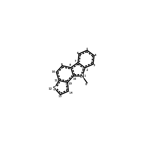 Cn1c2ccccc2c2ccc3sccc3c21